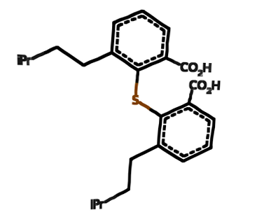 CC(C)CCc1cccc(C(=O)O)c1Sc1c(CCC(C)C)cccc1C(=O)O